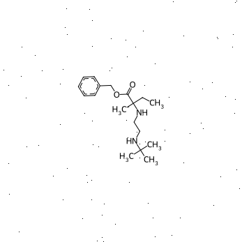 CCC(C)(NCCNC(C)(C)C)C(=O)OCc1ccccc1